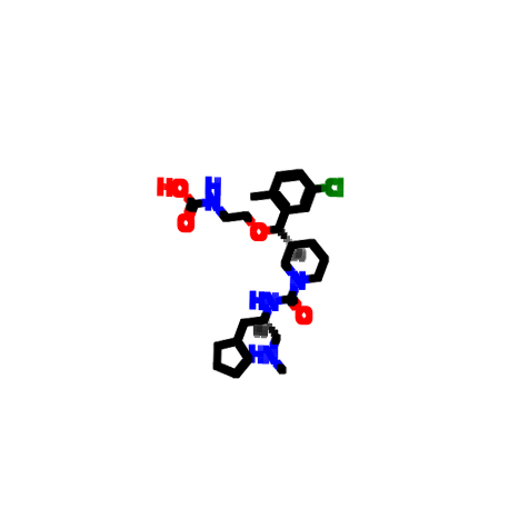 CNC[C@H](CC1CCCC1)NC(=O)N1CCC[C@@H](C(OCCNC(=O)O)c2cc(Cl)ccc2C)C1